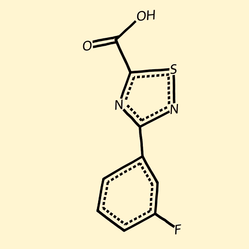 O=C(O)c1nc(-c2cccc(F)c2)ns1